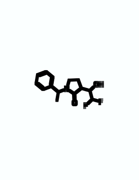 CC(c1ccccc1)N1CCC(C(O)C(F)F)C1=O